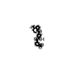 CN(C)C1CCCN(C(=O)c2ccc(NC(=O)c3cccc([N+](=O)[O-])c3)cc2)c2ccccc21